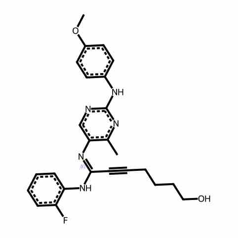 COc1ccc(Nc2ncc(/N=C(\C#CCCCCO)Nc3ccccc3F)c(C)n2)cc1